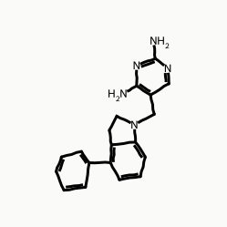 Nc1ncc(CN2CCc3c(-c4ccccc4)cccc32)c(N)n1